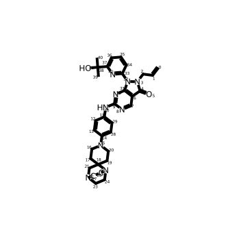 C=CCn1c(=O)c2cnc(Nc3ccc(N4CCC5(CC4)CN4CCN5CC4)cc3)nc2n1-c1cccc(C(C)(C)O)n1